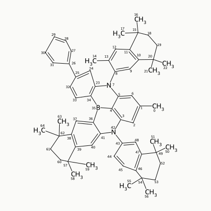 Cc1cc2c3c(c1)N(c1cc4c(cc1C)C(C)(C)CCC4(C)C)c1cc(-c4ccccc4)ccc1B3c1cc3c(cc1N2c1ccc2c(c1)C(C)(C)CCC2(C)C)C(C)(C)CCC3(C)C